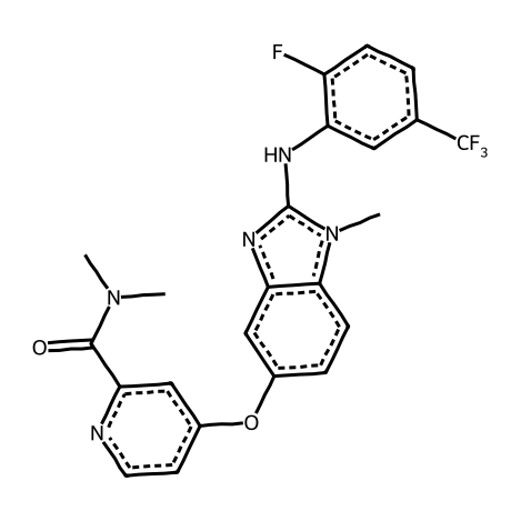 CN(C)C(=O)c1cc(Oc2ccc3c(c2)nc(Nc2cc(C(F)(F)F)ccc2F)n3C)ccn1